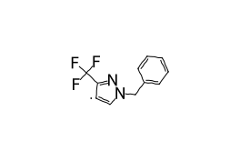 FC(F)(F)c1[c]cn(Cc2ccccc2)n1